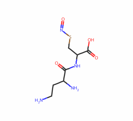 NCCC(N)C(=O)NC(CSN=O)C(=O)O